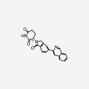 O=C1CC[C@H](N2Cc3cc(-c4cc5ccccc5cn4)ccc3C2=O)C(=O)N1